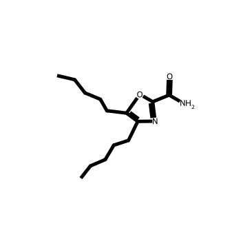 CCCCCc1nc(C(N)=O)oc1CCCCC